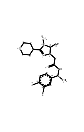 C[C@H](NC(=O)CN1N=C(C2CCOCC2)N(C)C1O)c1ccc(Cl)c(F)c1